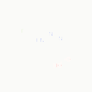 O=C(O)c1ccc2c(Nc3cccc(F)c3)ncnc2c1